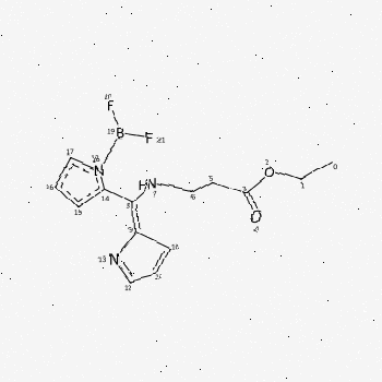 CCOC(=O)CCN/C(=C1\C=CC=N1)c1cccn1B(F)F